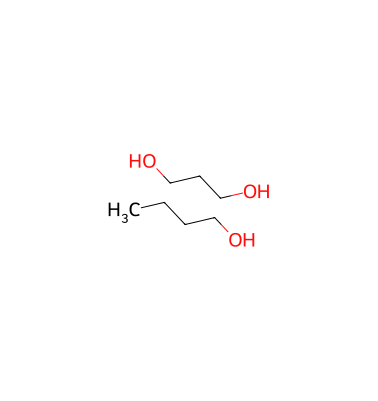 CCCCO.OCCCO